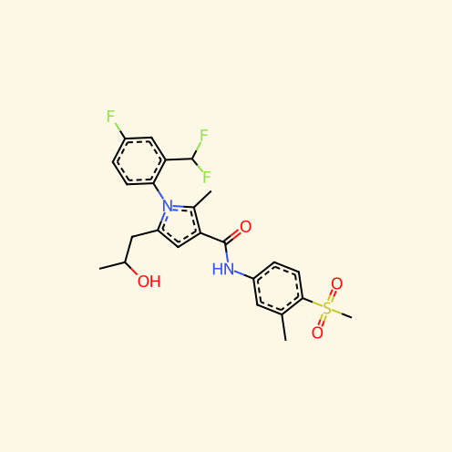 Cc1cc(NC(=O)c2cc(CC(C)O)n(-c3ccc(F)cc3C(F)F)c2C)ccc1S(C)(=O)=O